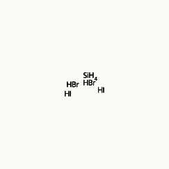 Br.Br.I.I.[SiH4]